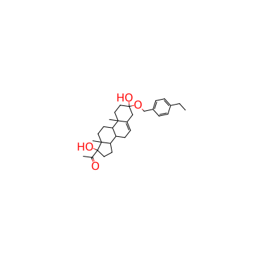 CCc1ccc(COC2(O)CCC3(C)C(=CCC4C3CCC3(C)C4CCC3(O)C(C)=O)C2)cc1